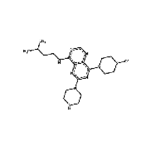 CC(C)CCNc1ncnc2c(N3CC[S+]([O-])CC3)nc(N3CCNCC3)nc12